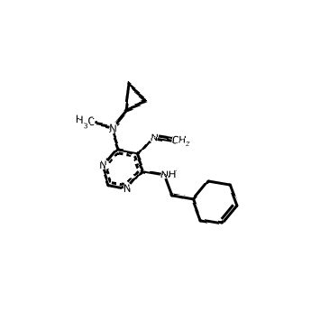 C=Nc1c(NCC2CC=CCC2)ncnc1N(C)C1CC1